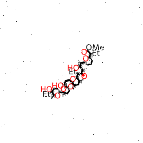 CC[C@@H](C(=O)[C@@H](C)[C@@H](O)[C@H](C)[C@H]1CCC[C@H]([C@@H](CC)C(=O)OC)O1)[C@H]1O[C@@]2(C=C[C@H](O)[C@]3(CC[C@@](C)([C@H]4CC[C@](O)(CC)[C@H](C)O4)O3)O2)[C@H](C)C[C@@H]1C